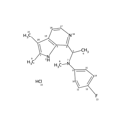 Cc1[nH]c2c(C(C)N(C)c3ccc(F)cc3)nccc2c1C.Cl